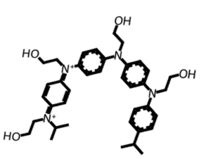 CC(C)c1ccc(N(CCO)c2ccc(N(CCO)c3ccc([N+](CCO)=C4C=CC(=[N+](CCO)C(C)C)C=C4)cc3)cc2)cc1